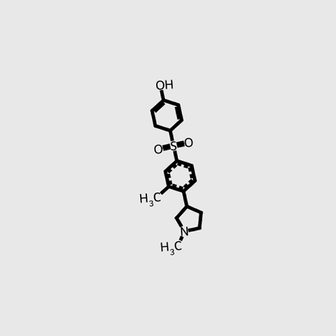 Cc1cc(S(=O)(=O)C2C=CC(O)=CC2)ccc1C1CCN(C)C1